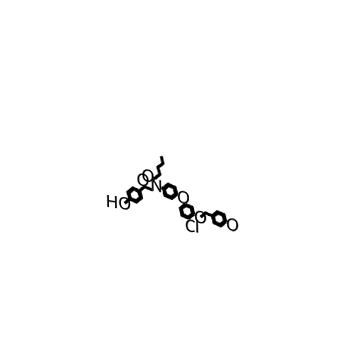 CCCCC(=O)N(CC(=O)c1ccc(O)cc1)c1ccc(Oc2ccc(Cl)c(OCc3ccc(OC)cc3)c2)cc1